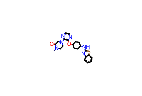 CN1CCN(c2nccnc2O[C@H]2CC[C@H](Nc3nc4ccccc4s3)CC2)CC1=O